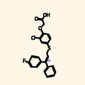 O=C(O)COc1ccc(SC/C=C(/c2ccccc2)c2ccc(F)cc2)cc1Cl